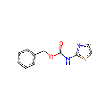 O=C(Nc1n[c]cs1)OCc1ccccc1